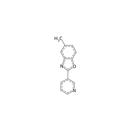 Cc1ccc2oc(-c3cccnc3)nc2c1